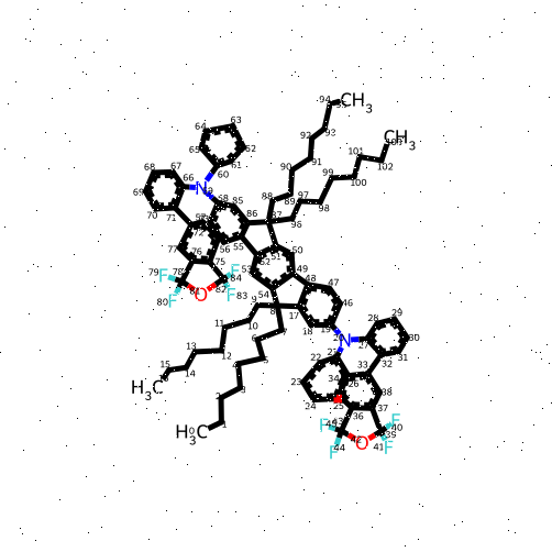 CCCCCCCCC1(CCCCCCCC)c2cc(N(c3ccccc3)c3ccccc3-c3ccc4c(c3)C(F)(F)OC4(F)F)ccc2-c2cc3c(cc21)-c1ccc(N(c2ccccc2)c2ccccc2-c2ccc4c(c2)C(F)(F)OC4(F)F)cc1C3(CCCCCCCC)CCCCCCCC